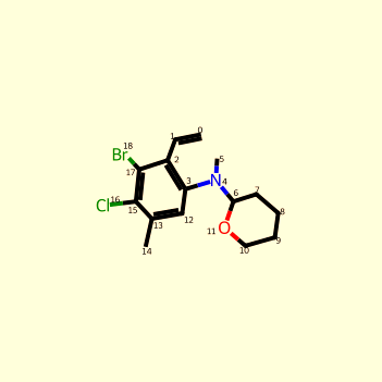 C=Cc1c(N(C)C2CCCCO2)cc(C)c(Cl)c1Br